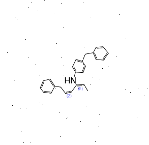 C/C=C(\C=C/Cc1ccccc1)Nc1ccc(Cc2ccccc2)cc1